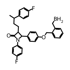 BCc1ccccc1COc1ccc(C2C(CCC(C)c3ccc(F)cc3)C(=O)N2c2ccc(F)cc2)cc1